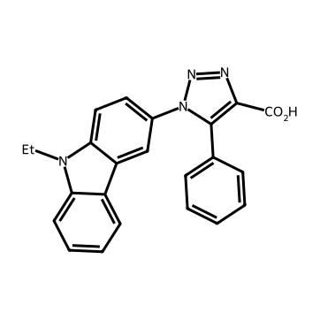 CCn1c2ccccc2c2cc(-n3nnc(C(=O)O)c3-c3ccccc3)ccc21